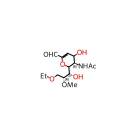 CCOC[C@@H](OC)[C@@H](O)C1OC(C=O)=CC(O)[C@H]1NC(C)=O